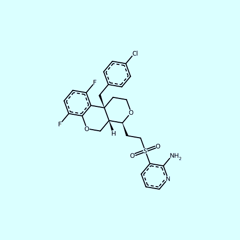 Nc1ncccc1S(=O)(=O)CC[C@@H]1OCC[C@@]2(Cc3ccc(Cl)cc3)c3c(F)ccc(F)c3OC[C@@H]12